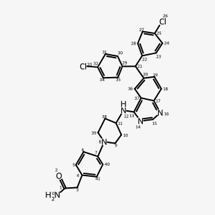 NC(=O)Cc1ccc(N2CCC(Nc3ncnc4ccc(C(c5ccc(Cl)cc5)c5ccc(Cl)cc5)cc34)CC2)cc1